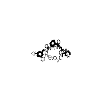 CCOC(=O)CCC1(NC(=O)CNC(=O)c2cccc(NC(=O)NCc3cc(Cl)cc(Cl)c3)c2)C=CC=NC1